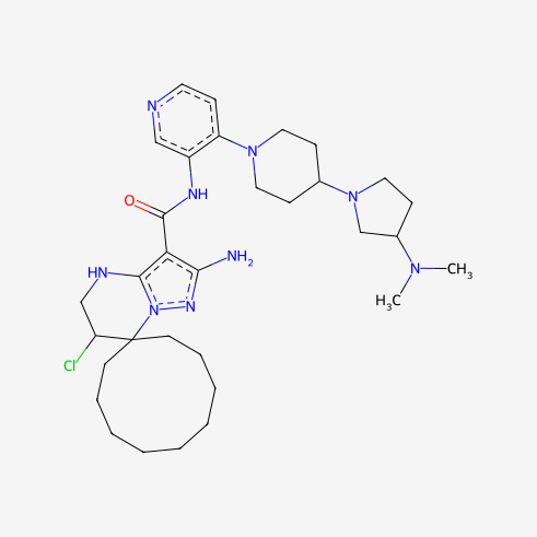 CN(C)C1CCN(C2CCN(c3ccncc3NC(=O)c3c(N)nn4c3NCC(Cl)C43CCCCCCCCC3)CC2)C1